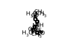 CC(C)n1c(=O)c2cnc(Nc3ccc4c(c3)CCN(C(=O)OC(C)(C)C)C4)nc2n1-c1ccc(F)c(C2(F)COC2)n1